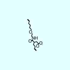 C=CCCCCOCCNC(=O)C(CCC=C)CC(=O)OC